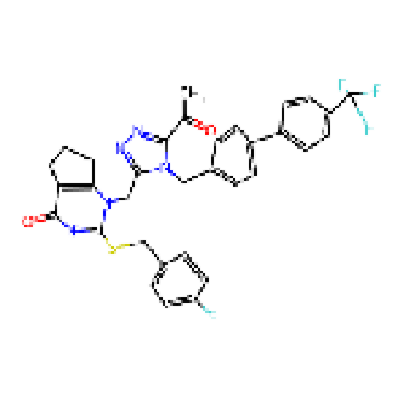 CC(=O)c1nnc(Cn2c(SCc3ccc(F)cc3)nc(=O)c3c2CCC3)n1Cc1ccc(-c2ccc(C(F)(F)F)cc2)cc1